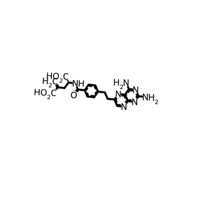 C=C(C[C@H](NC(=O)c1ccc(CCc2cnc3nc(N)nc(N)c3n2)cc1)C(=O)O)C(=O)O